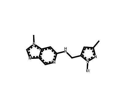 CCn1nc(C)cc1CNc1cc2c(cn1)ncn2C